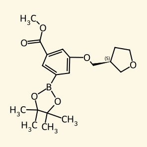 COC(=O)c1cc(OC[C@H]2CCOC2)cc(B2OC(C)(C)C(C)(C)O2)c1